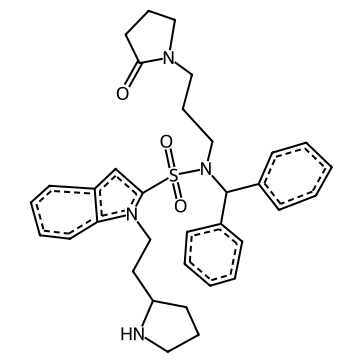 O=C1CCCN1CCCN(C(c1ccccc1)c1ccccc1)S(=O)(=O)c1cc2ccccc2n1CCC1CCCN1